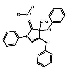 CC(=O)NC1(Nc2ccccc2)C(=O)N(c2ccccc2)N=C1Nc1ccccc1.CCNCC